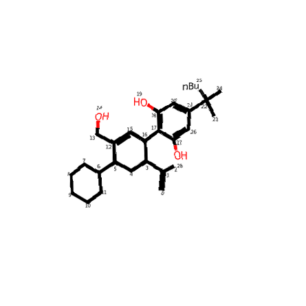 C=C(C)C1CC(C2CCCCC2)C(CO)=CC1c1c(O)cc(C(C)(C)CCCC)cc1O